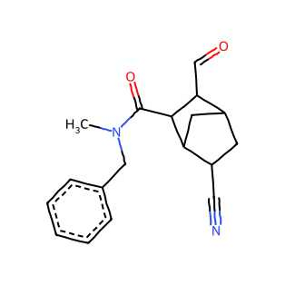 CN(Cc1ccccc1)C(=O)C1C(C=O)C2CC(C#N)C1C2